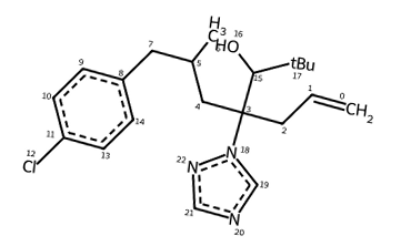 C=CCC(CC(C)Cc1ccc(Cl)cc1)(C(O)C(C)(C)C)n1cncn1